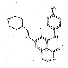 O=c1[nH]ccc2nc(NCC3CCOCC3)nc(Nc3ccc(C(F)(F)F)cc3)c12